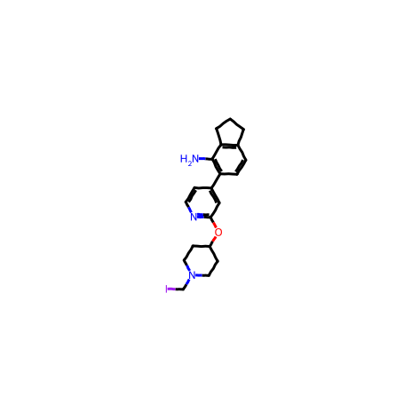 Nc1c(-c2ccnc(OC3CCN(CI)CC3)c2)ccc2c1CCC2